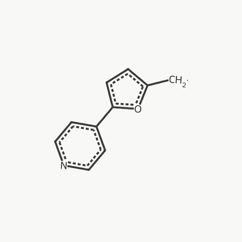 [CH2]c1ccc(-c2ccncc2)o1